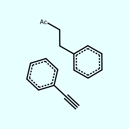 C#Cc1ccccc1.CC(=O)CCc1ccccc1